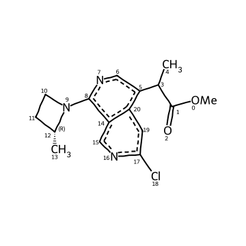 COC(=O)C(C)c1cnc(N2CC[C@H]2C)c2cnc(Cl)cc12